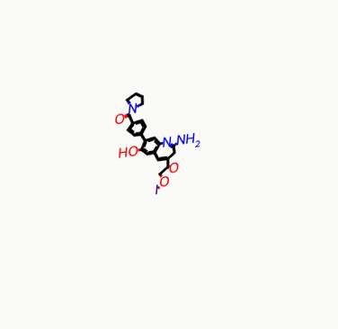 NC1=Nc2cc(-c3ccc(C(=O)N4CCCC4)cc3)c(O)cc2C=C(C(=O)COI)C1